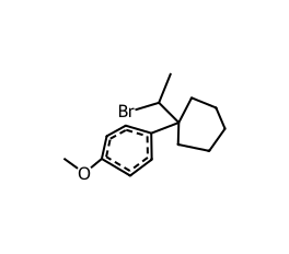 COc1ccc(C2(C(C)Br)CCCCC2)cc1